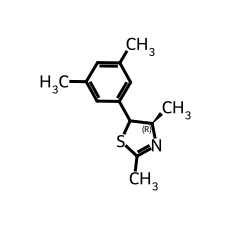 CC1=N[C@H](C)C(c2cc(C)cc(C)c2)S1